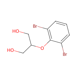 OCC(CO)Oc1c(Br)cccc1Br